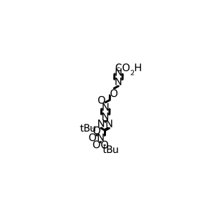 CC(C)(C)OC(=O)N(Cc1cnc(N2CCN(C(=O)CCOCCN3CCN(C(=O)O)CC3)CC2)nc1)C(=O)OC(C)(C)C